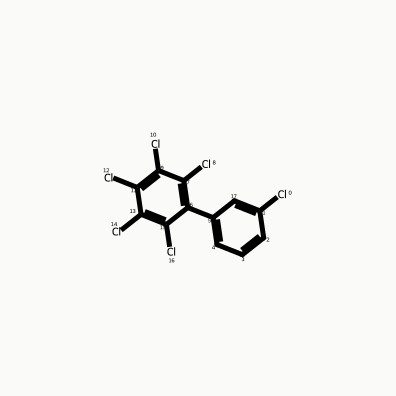 Clc1cccc(-c2c(Cl)c(Cl)c(Cl)c(Cl)c2Cl)c1